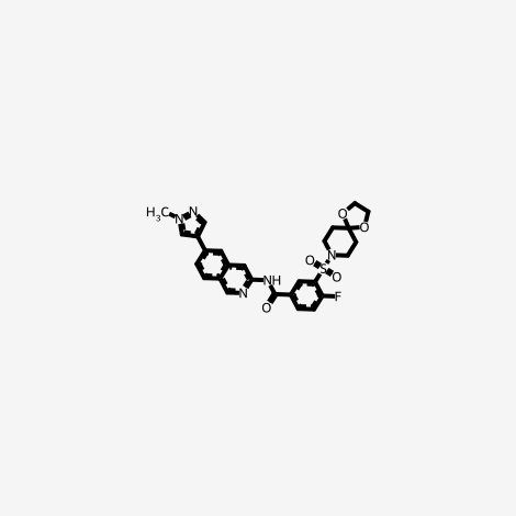 Cn1cc(-c2ccc3cnc(NC(=O)c4ccc(F)c(S(=O)(=O)N5CCC6(CC5)OCCO6)c4)cc3c2)cn1